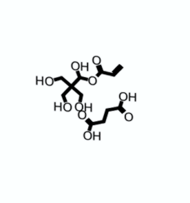 C=CC(=O)OC(O)C(CO)(CO)CO.O=C(O)CCC(=O)O